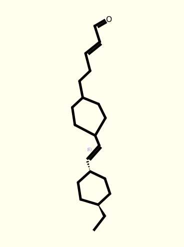 CC[C@H]1CC[C@H](/C=C/C2CCC(CCC=CC=O)CC2)CC1